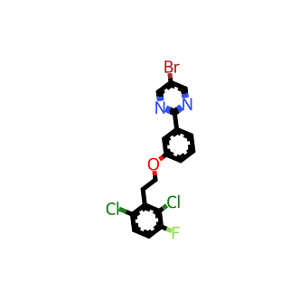 Fc1ccc(Cl)c(CCOc2cccc(-c3ncc(Br)cn3)c2)c1Cl